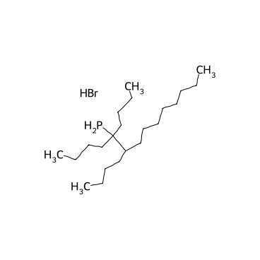 Br.CCCCCCCCC(CCCC)C(P)(CCCC)CCCC